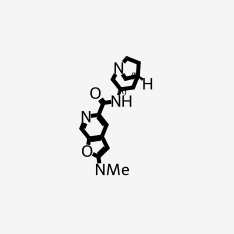 CNc1cc2cc(C(=O)N[C@@H]3C[C@H]4CCN(C4)C3)ncc2o1